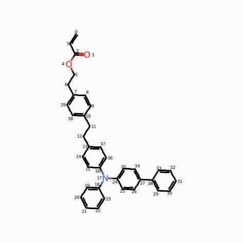 C=CC(=O)OCCc1ccc(CCc2ccc(N(c3ccccc3)c3ccc(-c4ccccc4)cc3)cc2)cc1